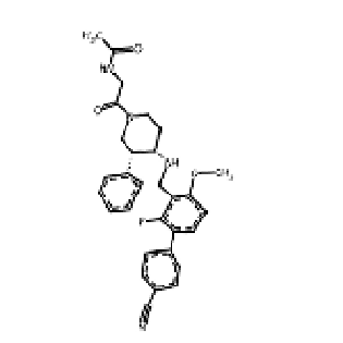 COc1ccc(-c2ccc(C#N)cc2)c(F)c1CN[C@H]1CCN(C(=O)CNC(C)=O)C[C@H]1c1ccccc1